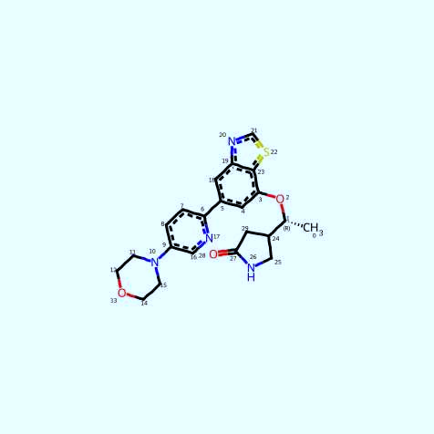 C[C@@H](Oc1cc(-c2ccc(N3CCOCC3)cn2)cc2ncsc12)C1CNC(=O)C1